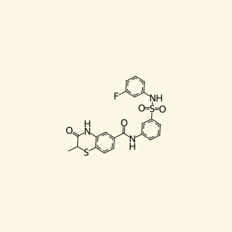 CC1Sc2ccc(C(=O)Nc3cccc(S(=O)(=O)Nc4cccc(F)c4)c3)cc2NC1=O